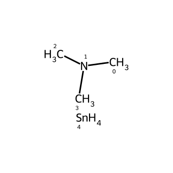 CN(C)C.[SnH4]